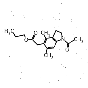 CCCOC(=O)Cc1c(C)cc2c(c1C)CCN2C(C)=O